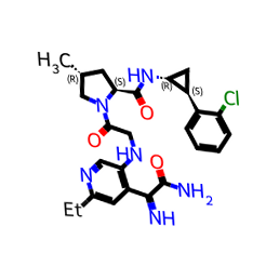 CCc1cc(C(=N)C(N)=O)c(NCC(=O)N2C[C@H](C)C[C@H]2C(=O)N[C@@H]2C[C@H]2c2ccccc2Cl)cn1